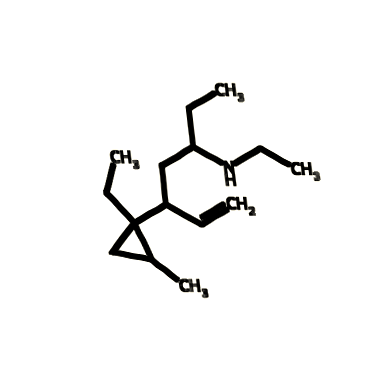 C=CC(CC(CC)NCC)C1(CC)CC1C